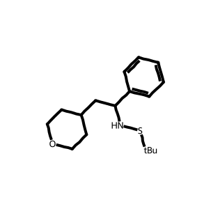 CC(C)(C)SNC(CC1CCOCC1)c1ccccc1